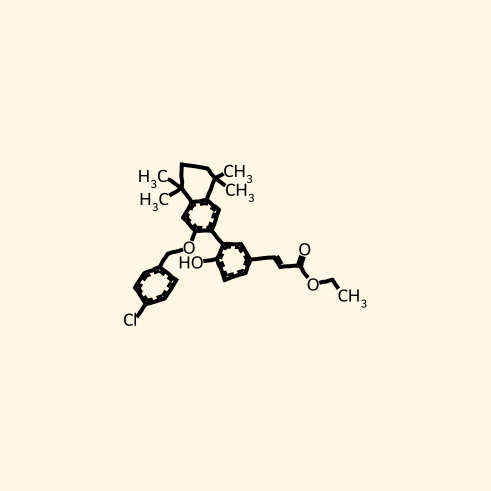 CCOC(=O)C=Cc1ccc(O)c(-c2cc3c(cc2OCc2ccc(Cl)cc2)C(C)(C)CCC3(C)C)c1